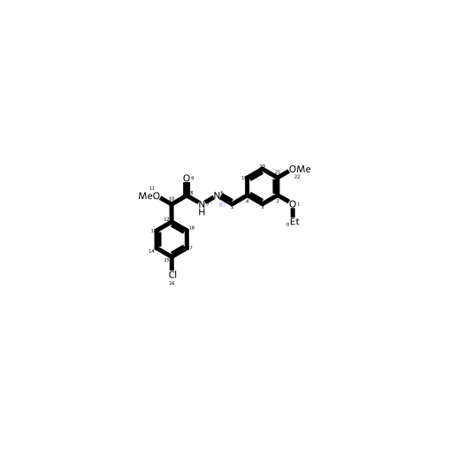 CCOc1cc(/C=N/NC(=O)C(OC)c2ccc(Cl)cc2)ccc1OC